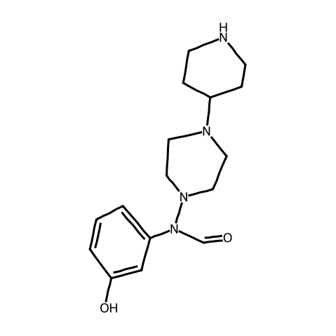 O=CN(c1cccc(O)c1)N1CCN(C2CCNCC2)CC1